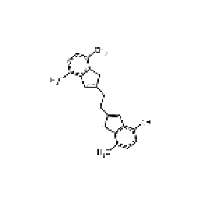 Cc1ccc(C)c2c1[CH]C(CCC1=Cc3c(C)ccc(C)c3[CH]1)=C2